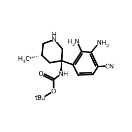 C[C@@H]1CNC[C@](NC(=O)OC(C)(C)C)(c2ccc(C#N)c(N)c2N)C1